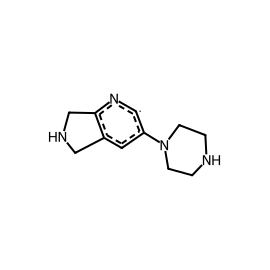 [c]1nc2c(cc1N1CCNCC1)CNC2